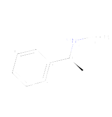 C[C@H](NS(=O)(=O)O)c1ccccc1